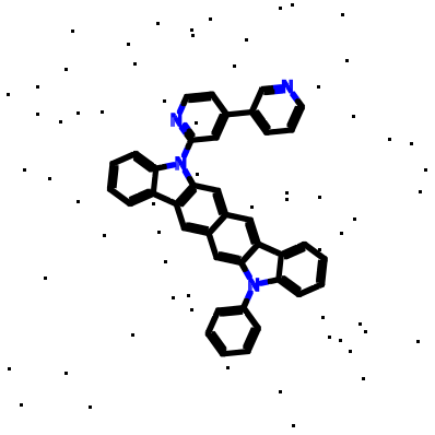 c1ccc(-n2c3ccccc3c3cc4cc5c(cc4cc32)c2ccccc2n5-c2cc(-c3cccnc3)ccn2)cc1